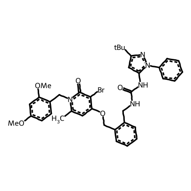 COc1ccc(Cn2c(C)cc(OCc3ccccc3CNC(=O)Nc3cc(C(C)(C)C)nn3-c3ccccc3)c(Br)c2=O)c(OC)c1